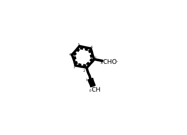 C#Cc1ccccc1[C]=O